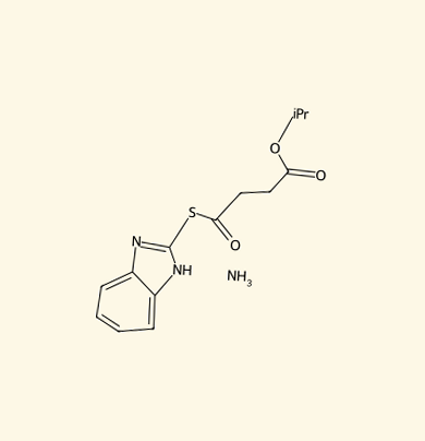 CC(C)OC(=O)CCC(=O)Sc1nc2ccccc2[nH]1.N